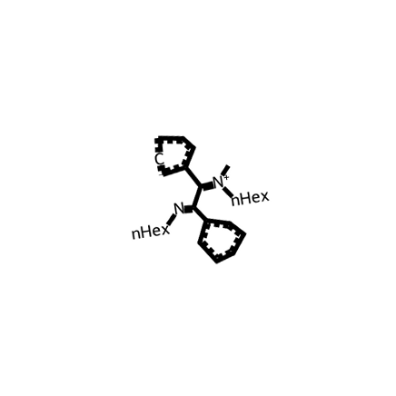 CCCCCCN=C(C(c1ccccc1)=[N+](C)CCCCCC)c1ccccc1